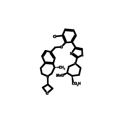 CO[C@H]1CN(c2nc(-c3cccc(Cl)c3OCc3ccc4c(c3)[C@H](C)CN(C3COC3)CC4)cs2)CC[C@H]1C(=O)O